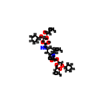 C=CC(=O)OC(COc1ccccc1)OC(=O)N1CC2(C)CC(NC(=O)OC(OC(=O)C=C)Oc3ccccc3)CC1(C)C2